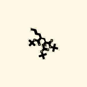 CC(C)(C)OC(=O)N[C@@H](C[C@H](CC=CI)C(=O)OC(C)(C)C)C(=O)OC(C)(C)C